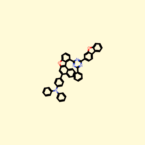 c1ccc(-c2nc(-c3ccc4c(c3)oc3ccccc34)nc(-c3cccc4oc5cc(-c6ccc(N(c7ccccc7)c7ccccc7)cc6)c6ccccc6c5c34)n2)cc1